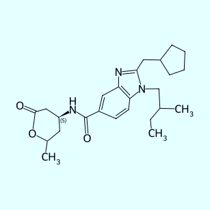 CCC(C)Cn1c(CC2CCCC2)nc2cc(C(=O)N[C@@H]3CC(=O)OC(C)C3)ccc21